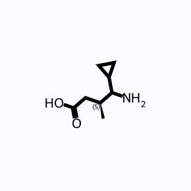 C[C@@H](CC(=O)O)C(N)C1CC1